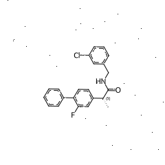 C[C@@H](C(=O)NCc1cccc(Cl)c1)c1ccc(-c2ccccc2)c(F)c1